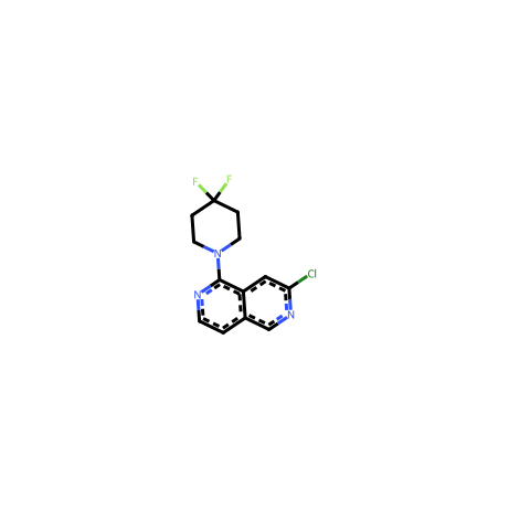 FC1(F)CCN(c2nccc3cnc(Cl)cc23)CC1